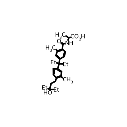 CCC(O)(CC)CCc1ccc(C(CC)(CC)c2ccc(C(=O)NC(C)C(=O)O)c(C)c2)cc1C